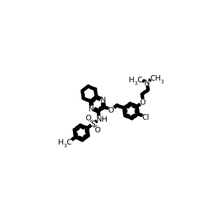 Cc1ccc(S(=O)(=O)Nc2nc3c(nc2OCc2ccc(Cl)c(OCCN(C)C)c2)CCCC3)cc1